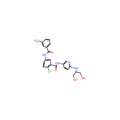 O=C(Nc1ccc(Cl)c(C(=O)Nc2ccc(NC(CO)CO)nc2)c1)c1cccc(C(F)(F)F)c1